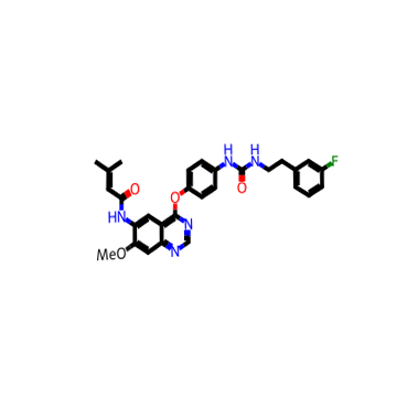 COc1cc2ncnc(Oc3ccc(NC(=O)NCCc4cccc(F)c4)cc3)c2cc1NC(=O)C=C(C)C